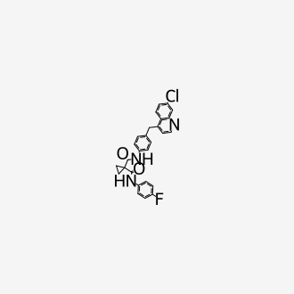 O=C(Nc1ccc(F)cc1)C1(C(=O)Nc2ccc(Cc3ccnc4cc(Cl)ccc34)cc2)CC1